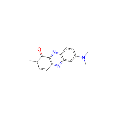 CC1C=Cc2nc3cc(N(C)C)ccc3nc2C1=O